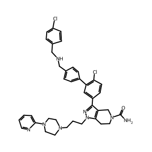 NC(=O)N1CCc2c(c(-c3ccc(Cl)c(-c4ccc(CNCc5ccc(Cl)cc5)cc4)c3)nn2CCCN2CCN(c3ccccn3)CC2)C1